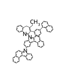 CCC1=C(c2cccc(-c3cccc4ccccc34)c2)C(n2c3ccc(-n4c5ccccc5c5c6ccccc6ccc54)cc3c3c4ccccc4ccc32)=Nc2ccccc2C1